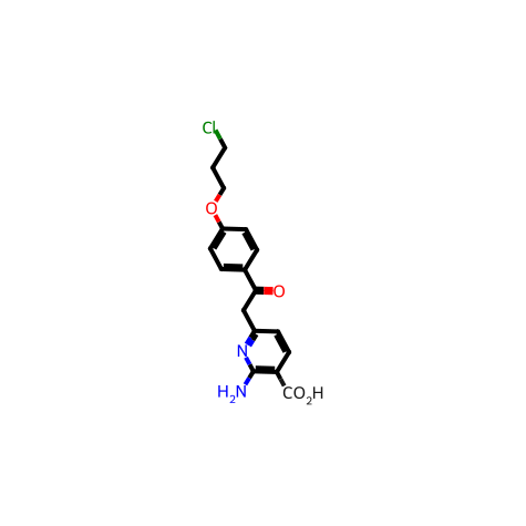 Nc1nc(CC(=O)c2ccc(OCCCCl)cc2)ccc1C(=O)O